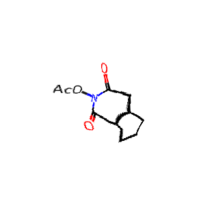 CC(=O)ON1C(=O)CC2CCCC2C1=O